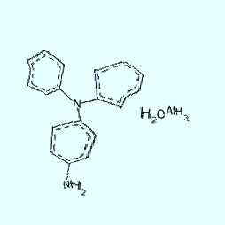 Nc1ccc(N(c2ccccc2)c2ccccc2)cc1.O.[AlH3]